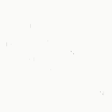 CC(C)(C)OC(=O)N(C1CCC1)C1CCNCC1